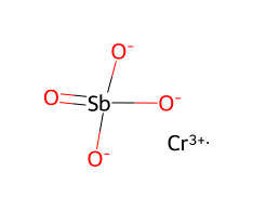 [Cr+3].[O]=[Sb]([O-])([O-])[O-]